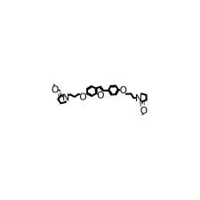 COC[C@H]1CCCN1CCCOc1ccc(-c2cc3ccc(OCCCN4CCC[C@@H]4COC)cc3o2)cc1